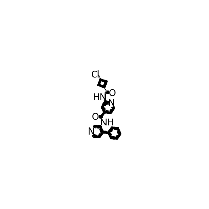 O=C(Nc1cnccc1-c1ccccc1)c1ccnc(NC(=O)[C@H]2C[C@@H](Cl)C2)c1